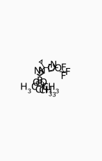 CC1(C)OB(c2cnn(C(c3ccc(OCC(F)(F)F)nc3)C3CC3)c2)OC1(C)C